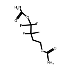 NC(=O)OCCC(F)(F)C(F)(F)OC(N)=O